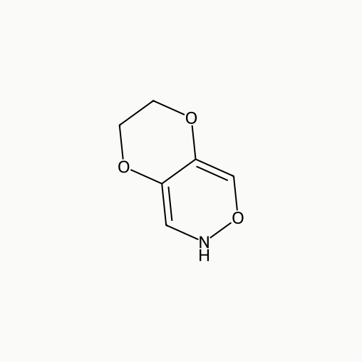 C1=C2OCCOC2=CON1